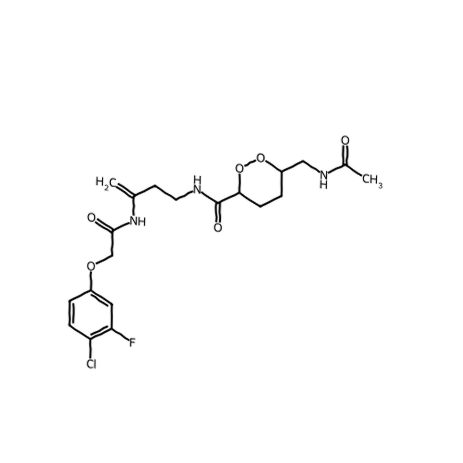 C=C(CCNC(=O)C1CCC(CNC(C)=O)OO1)NC(=O)COc1ccc(Cl)c(F)c1